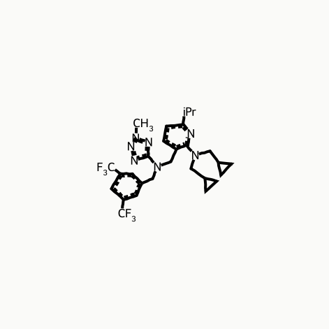 CC(C)c1ccc(CN(Cc2cc(C(F)(F)F)cc(C(F)(F)F)c2)c2nnn(C)n2)c(N(CC2CC2)CC2CC2)n1